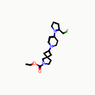 CCOC(=O)N1CCC2(CC(N3CCC(N4CCCC4CF)CC3)C2)C1